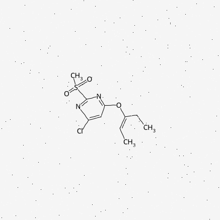 CC=C(CC)Oc1cc(Cl)nc(S(C)(=O)=O)n1